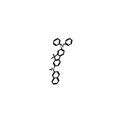 CN(c1ccc2c(c1)C(C)(C)c1cc(N(c3ccccc3)c3ccccc3)ccc1-2)c1ccc2ccccc2c1